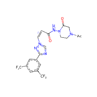 CC(=O)N1CCN(NC(=O)/C=C\n2cnc(-c3cc(C(F)(F)F)cc(C(F)(F)F)c3)n2)C(=O)C1